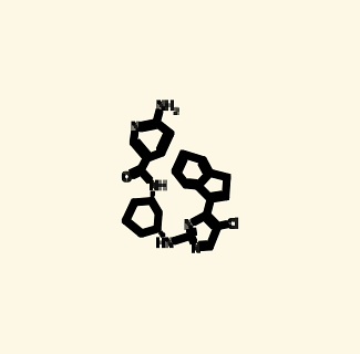 Nc1ccc(C(=O)N[C@H]2CCC[C@@H](Nc3ncc(Cl)c(C4=CCc5ccccc54)n3)C2)cn1